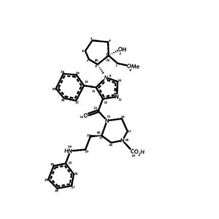 COC[C@]1(O)CCCC[C@H]1n1cnc(C(=O)N2CCN(C(=O)O)C[C@H]2CCNc2ccccc2)c1-c1ccccc1